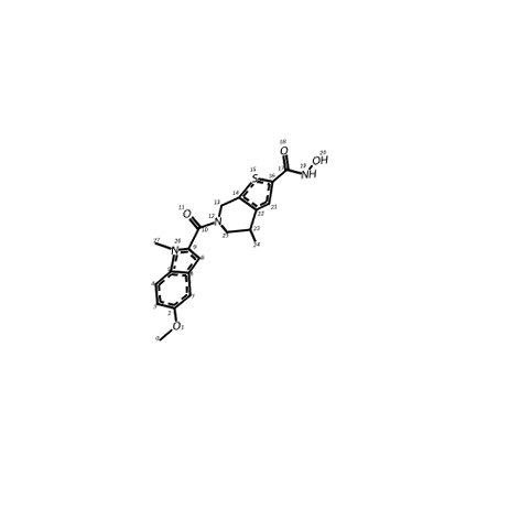 COc1ccc2c(c1)cc(C(=O)N1Cc3sc(C(=O)NO)cc3C(C)C1)n2C